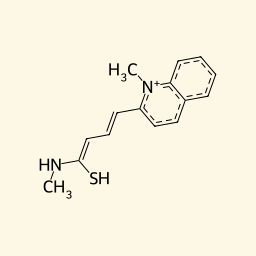 CN/C(S)=C/C=C/c1ccc2ccccc2[n+]1C